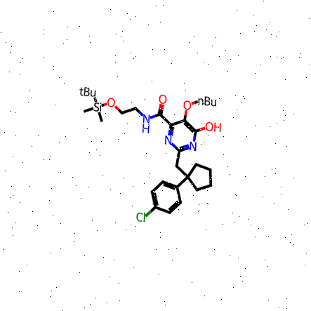 CCCCOc1c(O)nc(CC2(c3ccc(Cl)cc3)CCCC2)nc1C(=O)NCCO[Si](C)(C)C(C)(C)C